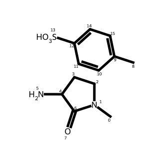 CN1CCC(N)C1=O.Cc1ccc(S(=O)(=O)O)cc1